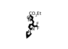 CCOC(=O)c1cc(Cc2ccc(N3CC4CC4C3)nc2C(F)F)no1